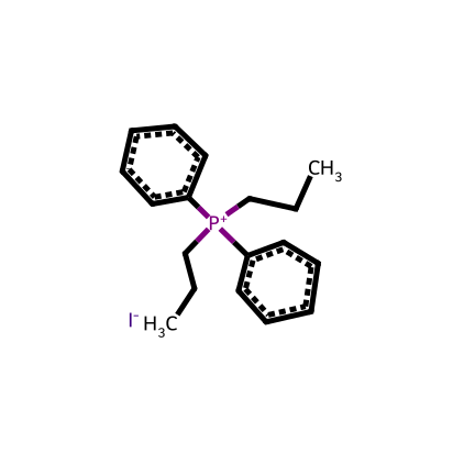 CCC[P+](CCC)(c1ccccc1)c1ccccc1.[I-]